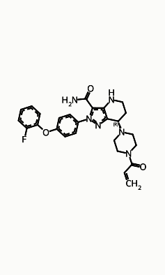 C=CC(=O)N1CCN([C@@H]2CCNc3c2nn(-c2ccc(Oc4ccccc4F)cc2)c3C(N)=O)CC1